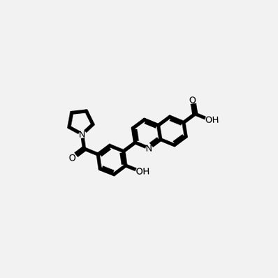 O=C(O)c1ccc2nc(-c3cc(C(=O)N4CCCC4)ccc3O)ccc2c1